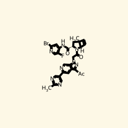 CC(=O)c1nn(CC(=O)N2[C@H](C(=O)Nc3cc(Br)ncc3F)C[C@@]3(C)C#C[C@@H]23)c2cnc(-c3cnc(C)nc3)cc12